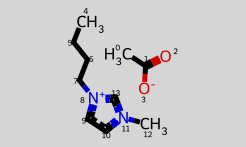 CC(=O)[O-].CCCC[n+]1ccn(C)c1